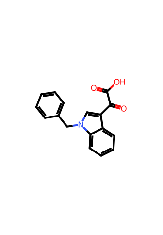 O=C(O)C(=O)c1cn(Cc2ccccc2)c2ccccc12